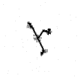 Cc1nn(CCOCCOCCOCC(=O)NC(C(O)CCC(=O)NCCOCCOCCOCCOC[C@H]2OC[C@H](Nc3cncc(C(F)(F)F)n3)[C@@H](O)[C@H]2O)C(O)CCC(=O)NCCOCCOCCOCCOC[C@H]2OC[C@H](Nc3cncc(C(F)(F)F)n3)[C@@H](O)[C@H]2O)c(C)c1-c1ccc(NC(=O)[C@@H](NC(=O)c2ccnn2C(C)C)C(C2CC2)C2CC2)cc1